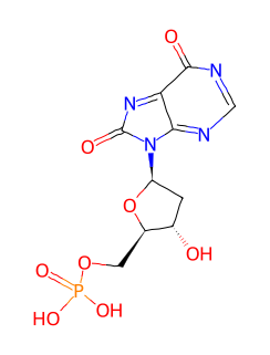 O=C1N=CN=C2C1=NC(=O)N2[C@H]1C[C@H](O)[C@@H](COP(=O)(O)O)O1